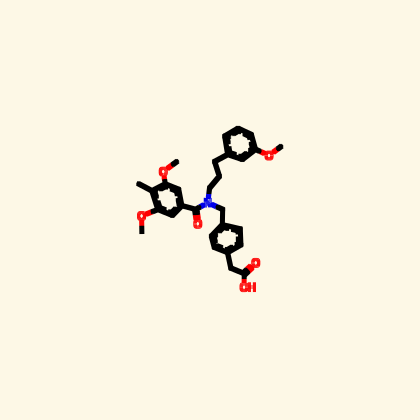 COc1cccc(CCCN(Cc2ccc(CC(=O)O)cc2)C(=O)c2cc(OC)c(C)c(OC)c2)c1